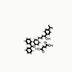 CC(C)c1ccc(C(O)CCCN2CCC(OC(c3ccccc3)c3ccccc3)CC2)cc1.O=C(O)/C=C/C(=O)O